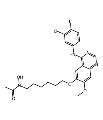 COc1cc2ncnc(Nc3ccc(F)c(Cl)c3)c2cc1OCCCCCCN(O)C(C)=O